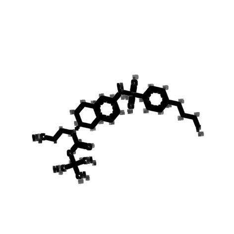 CCCN(C(=O)OC(C)(C)C)[C@@H]1CCc2cc(NS(=O)(=O)c3ccc(CCCF)cc3)ccc2C1